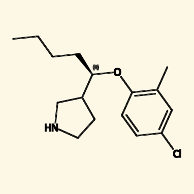 CCCC[C@@H](Oc1ccc(Cl)cc1C)C1CCNC1